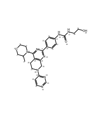 CC1COCCN1c1nc(-c2ccc(NC(=O)NCCO)cc2)nc2c1CCN(c1ccncn1)C2